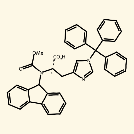 COC(=O)N(C1c2ccccc2-c2ccccc21)[C@@H](Cc1cn(C(c2ccccc2)(c2ccccc2)c2ccccc2)cn1)C(=O)O